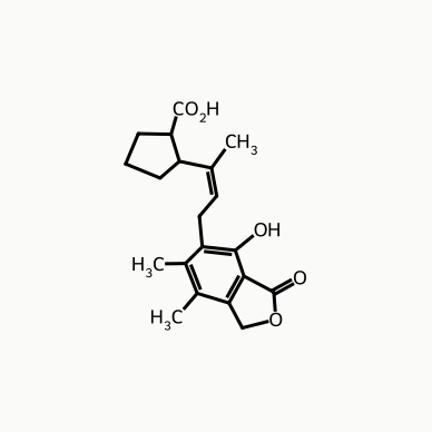 CC(=CCc1c(C)c(C)c2c(c1O)C(=O)OC2)C1CCCC1C(=O)O